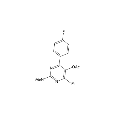 CNc1nc(-c2ccc(F)cc2)c(OC(C)=O)c(C(C)C)n1